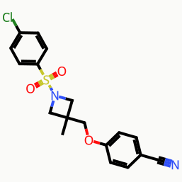 CC1(COc2ccc(C#N)cc2)CN(S(=O)(=O)c2ccc(Cl)cc2)C1